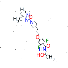 CC(O)CNC(=O)c1c(F)cc(OCCCC2CCN(c3nc(C(C)C)no3)CC2)cc1F